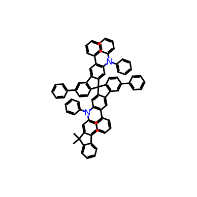 CC1(C)c2ccccc2-c2ccc(N(c3ccccc3)c3cc4c(cc3-c3ccccc3)-c3cc(-c5ccccc5)ccc3C43c4ccc(-c5ccccc5)cc4-c4cc(-c5ccccc5)c(N(c5ccccc5)c5ccccc5)cc43)cc21